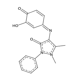 Cc1c(/N=C2/C=CC(=O)C(O)=C2)c(=O)n(-c2ccccc2)n1C